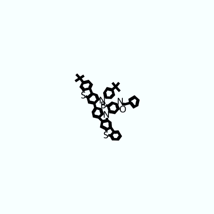 CC(C)(C)c1ccc(N2B3c4cc5nc(-c6ccccc6)oc5cc4-n4c5cc6c(cc5c5ccc(c3c54)-c3cc4sc5cc(C(C)(C)C)ccc5c4cc32)sc2ccccc26)cc1